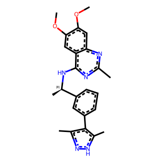 COc1cc2nc(C)nc(N[C@H](C)c3cccc(-c4c(C)n[nH]c4C)c3)c2cc1OC